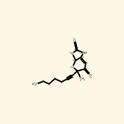 CCCCCC#CC1(C)OC2OC(=O)NC2=CC1=O